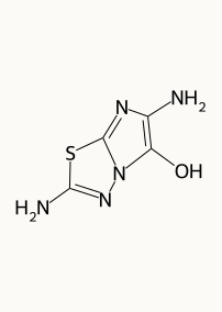 Nc1nn2c(O)c(N)nc2s1